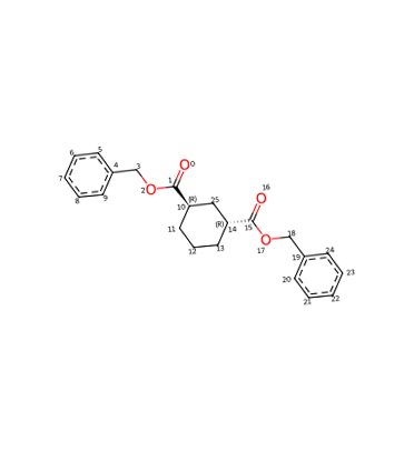 O=C(OCc1ccccc1)[C@@H]1CCC[C@@H](C(=O)OCc2ccccc2)C1